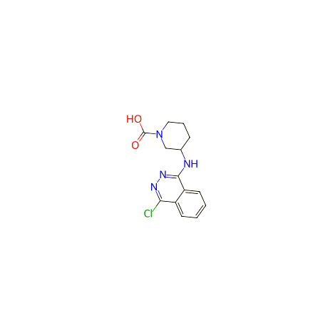 O=C(O)N1CCCC(Nc2nnc(Cl)c3ccccc23)C1